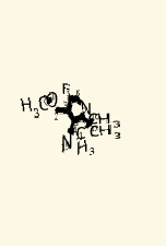 COCc1c(F)cnc(C(C)(C)C)c1C#N